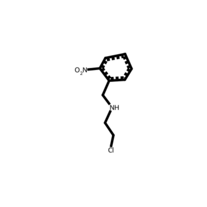 O=[N+]([O-])c1ccccc1CNCCCl